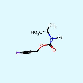 CCN(C(=O)OCC#CI)[C@@H](C)C(=O)O